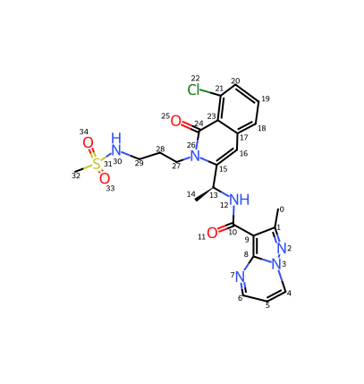 Cc1nn2cccnc2c1C(=O)N[C@@H](C)c1cc2cccc(Cl)c2c(=O)n1CCCNS(C)(=O)=O